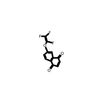 O=C1C=CC(=O)c2cc(OC(F)=C(F)F)ccc21